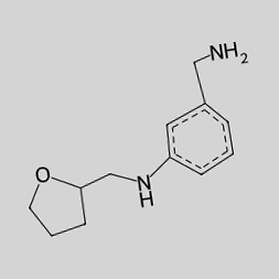 NCc1cccc(NCC2CCCO2)c1